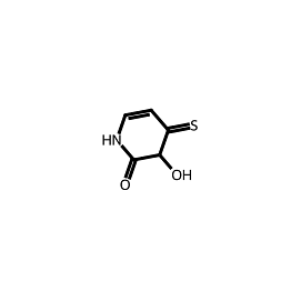 O=C1NC=CC(=S)C1O